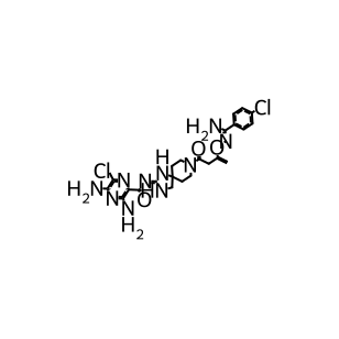 C=C(CC(=O)N1CCC2(CC1)CN/C(=N\C(=O)c1nc(Cl)c(N)nc1N)N2)O/N=C(\N)c1ccc(Cl)cc1